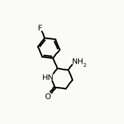 NC1CCC(=O)NC1c1ccc(F)cc1